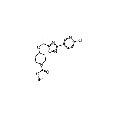 CC(C)OC(=O)N1CCC(O[C@H](C)c2nc(-c3ccc(Cl)nc3)no2)CC1